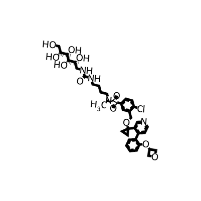 CN(CCCCNC(=O)NC[C@H](O)[C@@H](O)[C@H](O)[C@H](O)CO)S(=O)(=O)c1ccc(Cl)c(COC2(c3cnccc3-c3ccccc3OC3COC3)CC2)c1